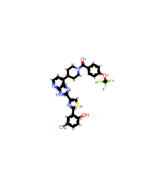 O=C(c1ccc(OC(F)(F)F)cc1)N1CCC(c2ccnc3[nH]c(-c4csc(-c5cc(Cl)ccc5O)n4)nc23)CC1